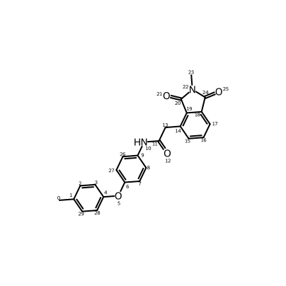 Cc1ccc(Oc2ccc(NC(=O)Cc3cccc4c3C(=O)N(C)C4=O)cc2)cc1